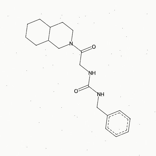 O=C(NCC(=O)N1CCC2CCCCC2C1)NCc1ccccc1